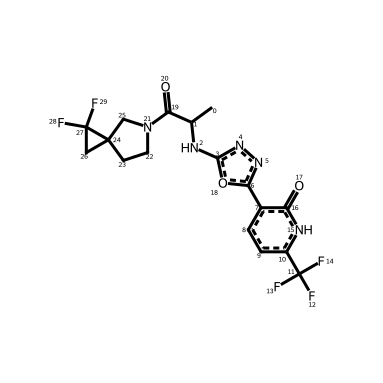 CC(Nc1nnc(-c2ccc(C(F)(F)F)[nH]c2=O)o1)C(=O)N1CCC2(C1)CC2(F)F